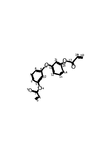 C=CC(=O)Oc1cccc(Oc2cccc(OC(=O)C=C)c2)c1